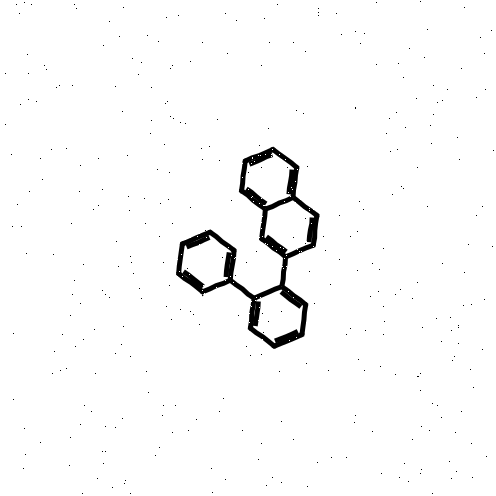 [c]1ccccc1-c1ccccc1-c1ccc2ccccc2c1